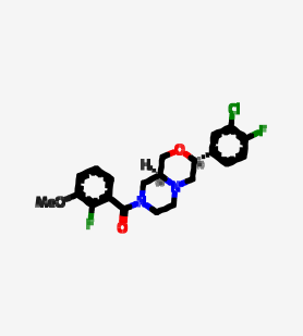 COc1cccc(C(=O)N2CCN3C[C@@H](c4ccc(F)c(Cl)c4)OC[C@@H]3C2)c1F